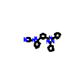 c1ccc(-c2nc(-c3ccccc3)nc(-c3cccc(-c4nn(-c5ccncc5)c5ccccc45)c3)n2)cc1